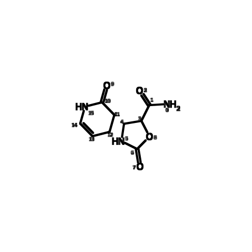 NC(=O)C1CNC(=O)O1.O=C1CCC=CN1